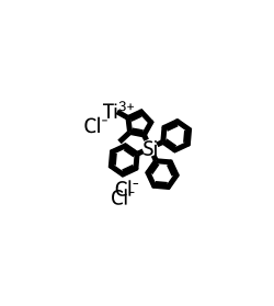 CC1=C([Si](c2ccccc2)(c2ccccc2)c2ccccc2)CC=[C]1[Ti+3].[Cl-].[Cl-].[Cl-]